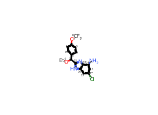 CCOC(c1ccc(OC(F)(F)F)cc1)c1nc2c(N)cc(Cl)cc2[nH]1